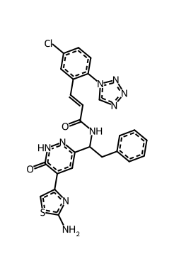 Nc1nc(-c2cc(C(Cc3ccccc3)NC(=O)C=Cc3cc(Cl)ccc3-n3cnnn3)n[nH]c2=O)cs1